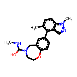 CNC(O)N1CCOc2ccc(-c3c(C)ccc4c3cnn4C)cc2C1